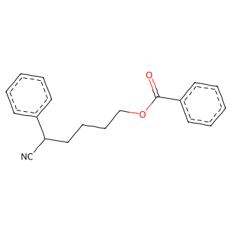 N#CC(CCCCOC(=O)c1ccccc1)c1ccccc1